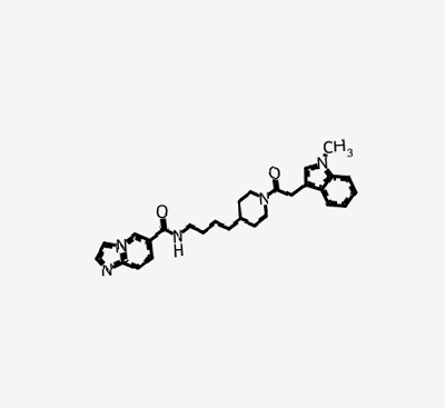 Cn1cc(CC(=O)N2CCC(CCCCNC(=O)c3ccc4nccn4c3)CC2)c2ccccc21